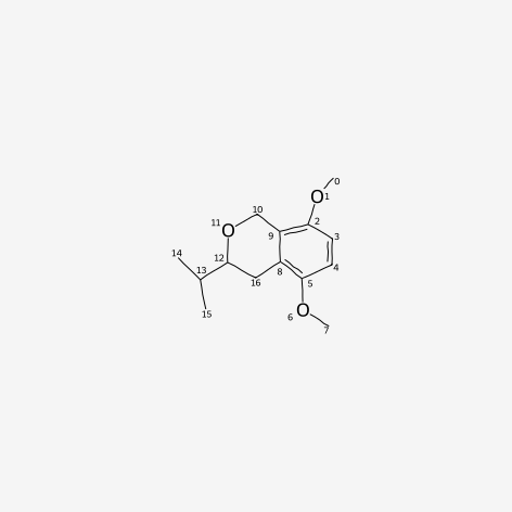 COc1ccc(OC)c2c1COC(C(C)C)C2